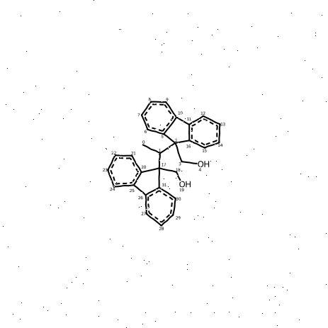 CC(C1(CO)c2ccccc2-c2ccccc21)C1(CO)c2ccccc2-c2ccccc21